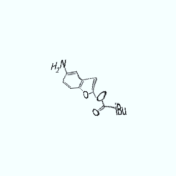 CCC(C)C(=O)Oc1cc2cc(N)ccc2o1